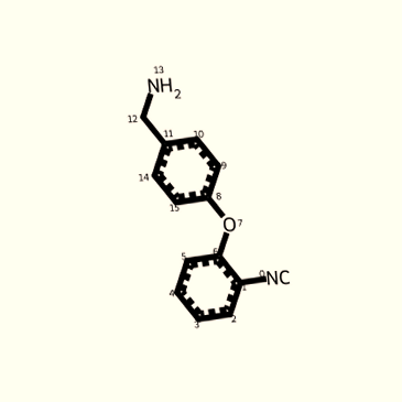 [C-]#[N+]c1ccccc1Oc1ccc(CN)cc1